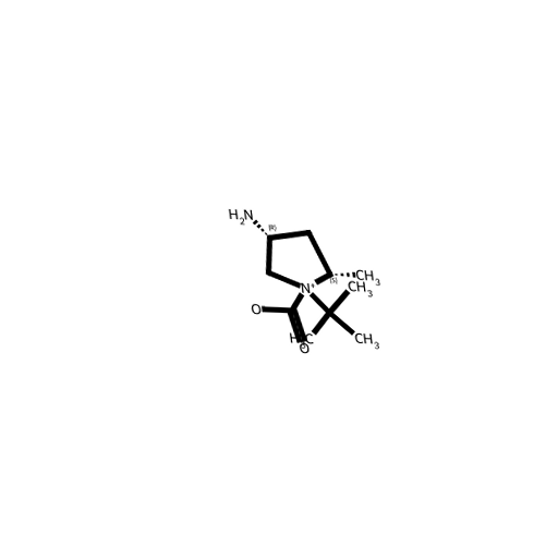 C[C@H]1C[C@@H](N)C[N+]1(C(=O)[O-])C(C)(C)C